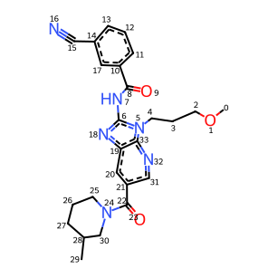 COCCCn1c(NC(=O)c2cccc(C#N)c2)nc2cc(C(=O)N3CCCC(C)C3)cnc21